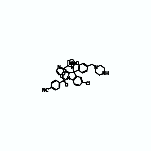 COc1cc(CN2CCNCC2)ccc1C1(N2CCCC2c2ncco2)C(=O)N(S(=O)(=O)c2ccc(C#N)cc2)c2ccc(Cl)cc21